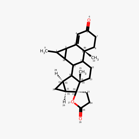 CC1C2C3=CC(=O)CC[C@]3(C)C3CC[C@@]4(C)C(C3C12)[C@@H]1C[C@@H]1[C@@]41CCC(=O)O1